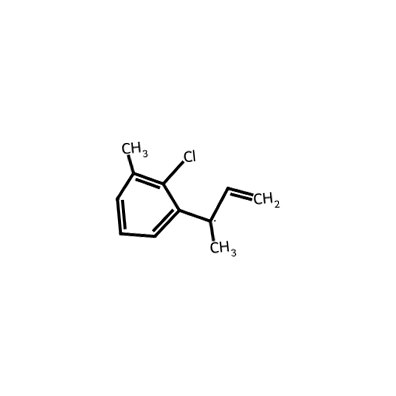 C=C[C](C)c1cccc(C)c1Cl